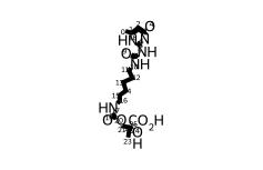 Cc1cc(=O)nc(NC(=O)NCCCCCCNC(=O)OCC(C)(O)C(=O)O)[nH]1